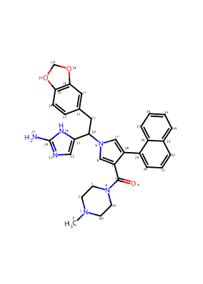 CN1CCN(C(=O)c2cn(C(Cc3ccc4c(c3)OCO4)c3cnc(N)[nH]3)cc2-c2cccc3ccccc23)CC1